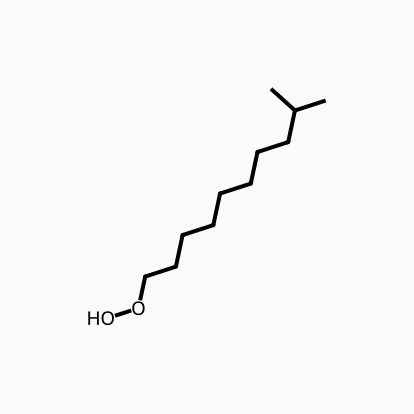 CC(C)CCCCCCCCOO